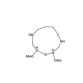 CO[SiH]1CNCCCCNC[SiH](OC)O1